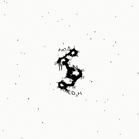 O=C(O)c1ccccc1Cc1ccnc(-c2cc(Cc3ccccc3C(=O)O)ccn2)c1